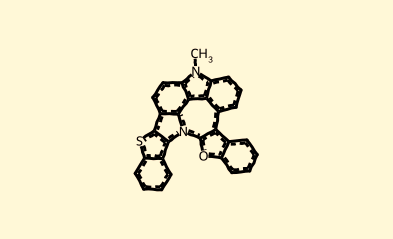 Cn1c2cccc3c2c2c1ccc1c4sc5ccccc5c4n(c4oc5ccccc5c34)c12